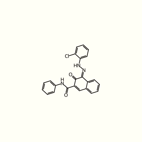 O=C(Nc1ccccc1)C1=Cc2ccccc2/C(=N/Nc2ccccc2Cl)C1=O